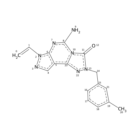 C=Cn1ncc2c1nc(N)n1c(=O)n(Cc3cccc(C)c3)nc21